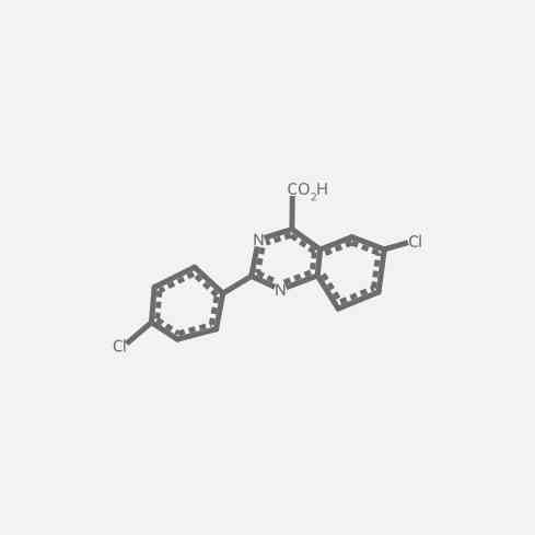 O=C(O)c1nc(-c2ccc(Cl)cc2)nc2ccc(Cl)cc12